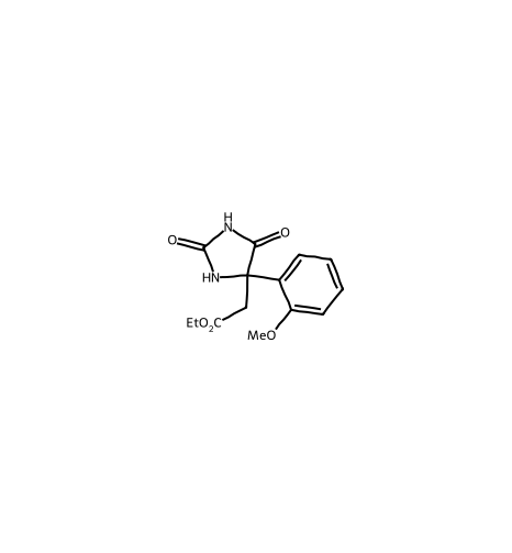 CCOC(=O)CC1(c2ccccc2OC)NC(=O)NC1=O